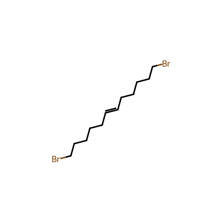 BrCCCCCC=CCCCCCBr